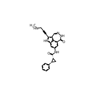 CNCC#Cc1[nH]c2cc(NC(=O)[C@@H]3C[C@H]3c3ccccc3)cc3c2c1C=NNC3=O